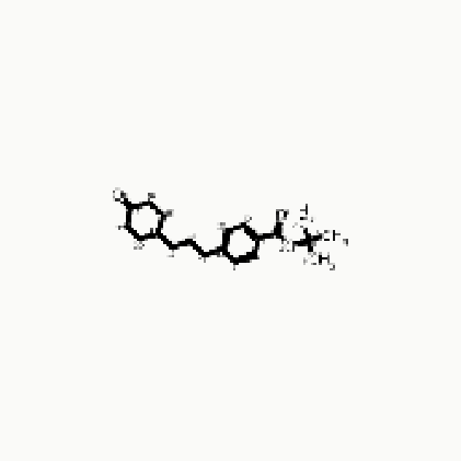 CC(C)(C)OC(=O)c1ccc(CCCC2CCC(=O)CC2)cc1